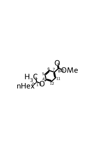 CCCCCC[C@@H](C)Oc1ccc(C(=O)OC)cc1